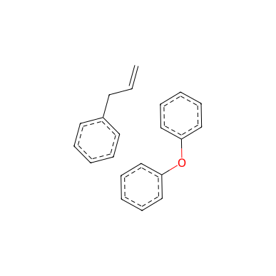 C=CCc1ccccc1.c1ccc(Oc2ccccc2)cc1